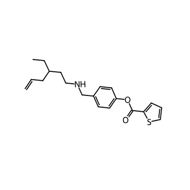 C=CCC(CC)CCNCc1ccc(OC(=O)c2cccs2)cc1